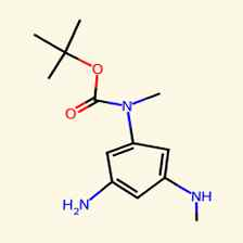 CNc1cc(N)cc(N(C)C(=O)OC(C)(C)C)c1